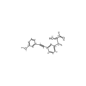 COc1cccc(C#Cc2cccc(C(C)N(O)C(C)=O)c2)c1